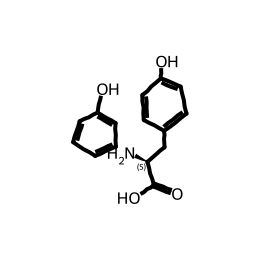 N[C@@H](Cc1ccc(O)cc1)C(=O)O.Oc1ccccc1